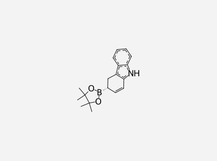 CC1(C)OB([C@H]2C=Cc3[nH]c4ccccc4c3C2)OC1(C)C